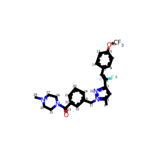 Cc1cc(/C(F)=C/c2ccc(OC(F)(F)F)cc2)nn1Cc1cccc(C(=O)N2CCN(C)CC2)c1